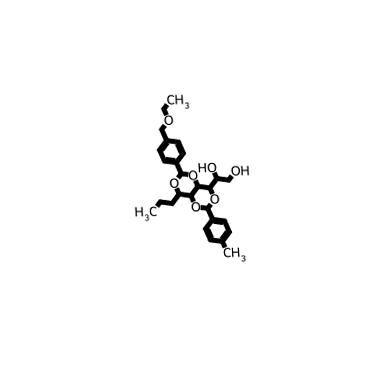 CCCC1OC(c2ccc(COCC)cc2)OC2C(C(O)CO)OC(c3ccc(C)cc3)OC12